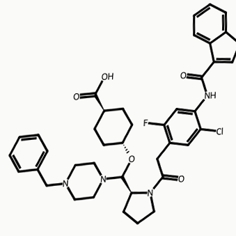 O=C(Nc1cc(F)c(CC(=O)N2CCC[C@H]2C(O[C@H]2CC[C@H](C(=O)O)CC2)N2CCN(Cc3ccccc3)CC2)cc1Cl)c1csc2ccccc12